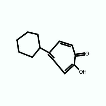 O=c1ccc(C2CCCCC2)ccc1O